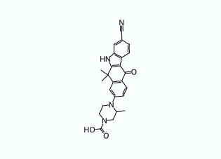 CC1CN(C(=O)O)CCN1c1ccc2c(c1)C(C)(C)c1[nH]c3cc(C#N)ccc3c1C2=O